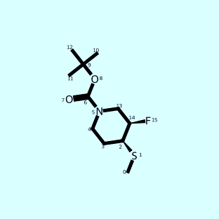 CS[C@H]1CCN(C(=O)OC(C)(C)C)C[C@H]1F